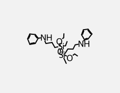 CCO[Si](CC)(CCCNc1ccccc1)O[Si](CC)(CCCNc1ccccc1)OCC